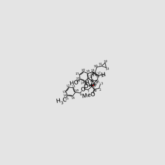 CO[C@]12CC[C@@]3(C[C@@H]1COCc1cccc(C)c1)[C@H]1Cc4ccc(O)c5c4[C@@]3(CCN1CC1CC1)[C@H]2O5